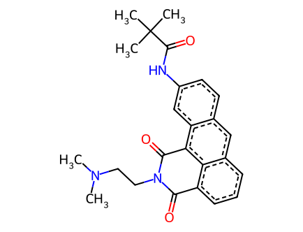 CN(C)CCN1C(=O)c2cccc3cc4ccc(NC(=O)C(C)(C)C)cc4c(c23)C1=O